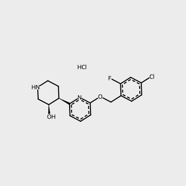 Cl.O[C@H]1CNCC[C@H]1c1cccc(OCc2ccc(Cl)cc2F)n1